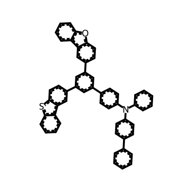 c1ccc(-c2ccc(N(c3ccccc3)c3ccc(-c4cc(-c5ccc6oc7ccccc7c6c5)cc(-c5ccc6sc7ccccc7c6c5)c4)cc3)cc2)cc1